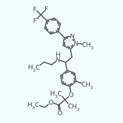 CCCNC(Cc1cc(-c2ccc(C(F)(F)F)cc2)nn1C)c1ccc(OC(C)(C)C(=O)OCC)c(C)c1